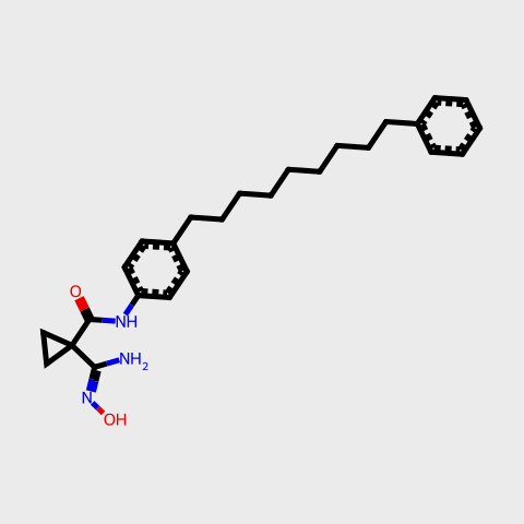 N/C(=N\O)C1(C(=O)Nc2ccc(CCCCCCCCCc3ccccc3)cc2)CC1